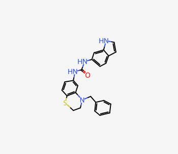 O=C(Nc1ccc2c(c1)N(Cc1ccccc1)CCS2)Nc1ccc2cc[nH]c2c1